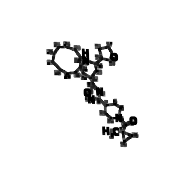 CC1(C(=O)N2CCC(c3noc(C4CC(C5CCOC5)NC5(CCCCCCCCC5)C4)n3)CC2)CC1